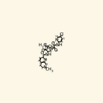 CN1CCc2ccc(C(=O)NC(CNC(=O)C(=O)Nc3ccc(Cl)cn3)C(=O)N(C)C)nc2C1